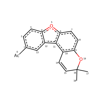 CC(=O)c1ccc2oc3ccc4c(c3c2c1)C=CC(C)(C)O4